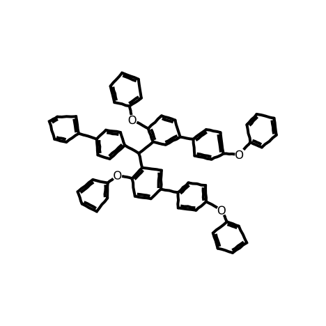 c1ccc(Oc2ccc(-c3ccc(Oc4ccccc4)c(C(c4ccc(-c5ccccc5)cc4)c4cc(-c5ccc(Oc6ccccc6)cc5)ccc4Oc4ccccc4)c3)cc2)cc1